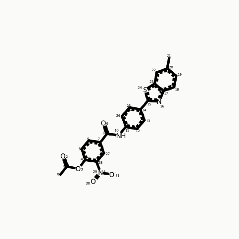 CC(=O)Oc1ccc(C(=O)Nc2ccc(-c3nc4ccc(C)cc4s3)cc2)cc1[N+](=O)[O-]